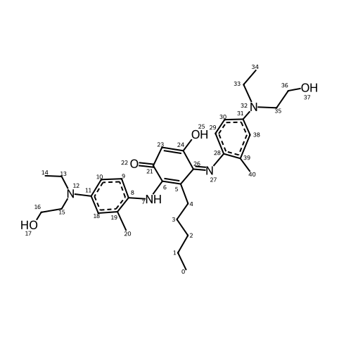 CCCCCC1=C(Nc2ccc(N(CC)CCO)cc2C)C(=O)C=C(O)C1=Nc1ccc(N(CC)CCO)cc1C